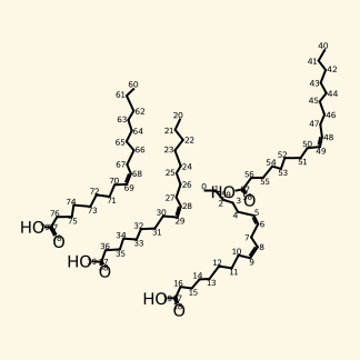 CCCCC/C=C\C/C=C\CCCCCCCC(=O)O.CCCCCCCC/C=C\CCCCCCCC(=O)O.CCCCCCCC/C=C\CCCCCCCC(=O)O.CCCCCCCC/C=C\CCCCCCCC(=O)O